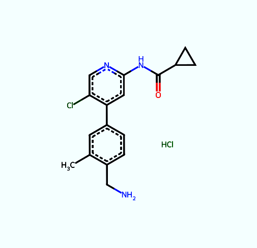 Cc1cc(-c2cc(NC(=O)C3CC3)ncc2Cl)ccc1CN.Cl